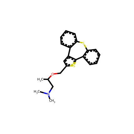 CC(CN(C)C)OCc1cc2c(s1)-c1ccccc1Sc1ccccc1-2